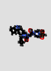 CN(C)[C@]1(c2ccccc2)CC[C@@]2(CC1)CN(CC(=O)N1CCN(S(C)(=O)=O)CC1)C(=O)N2CC1CCC1